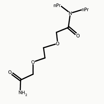 CCCN(CCC)C(=O)COCCOCC(N)=O